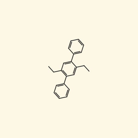 CCc1cc(-c2ccccc2)c(CC)cc1-c1ccccc1